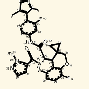 CC1=NCC(C)=C1c1ncc(NC(=O)[C@@H](NC(=O)c2ccnn2C(C)C)C2c3c(F)ccc(F)c3OCC23CC3)cc1F